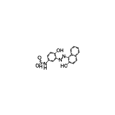 O=[SH](=O)Nc1ccc(O)c(N=Nc2c(O)ccc3ccccc23)c1